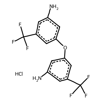 Cl.Nc1cc(Oc2cc(N)cc(C(F)(F)F)c2)cc(C(F)(F)F)c1